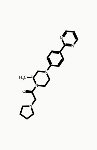 C[C@H]1CN(c2ccc(-c3ncccn3)cc2)CCN1C(=O)CN1CCCC1